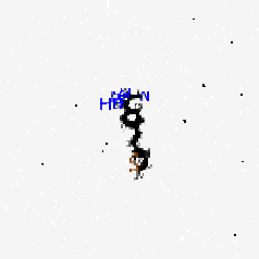 N#Cc1nn[nH]c1-c1ccc(C=Cc2cccs2)cc1